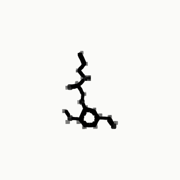 C=CCNC(=O)COc1cc(C=O)ccc1OC